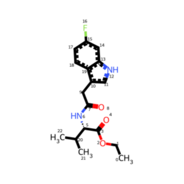 CCOC(=O)[C@@H](NC(=O)Cc1c[nH]c2cc(F)ccc12)C(C)C